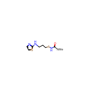 CNC(=O)NSCCCNc1nccs1